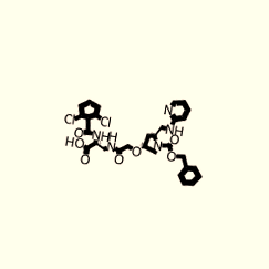 O=C(CO[C@@H]1C[C@@H](CNc2ccccn2)N(C(=O)OCc2ccccc2)C1)NC[C@H](NC(=O)c1c(Cl)cccc1Cl)C(=O)O